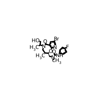 CC(CO)N1C[C@H](C)[C@H](CN(C)C(=O)Nc2ccc(F)cc2)Oc2ncc(Br)cc2C1=O